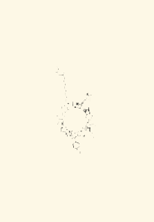 CCC(C)CC(C)CCCCCCCCC(=O)N[C@H]1C[C@@H](O)[C@@H](NCCNC(C)=O)NC(=O)[C@@H]2[C@@H](O)CCN2C(=O)[C@H]([C@H](O)CCN)NC(=O)[C@H]([C@H](O)[C@@H](O)c2ccc(O)cc2)NC(=O)[C@@H]2C[C@@H](O)CN2C(=O)[C@H]([C@@H](C)O)NC1=O